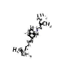 CCCC[C@H](C)C/C=C/[C@@H]1[C@H]2CC(CCCCCN(C)C)=C[C@H]2C[C@H]1O